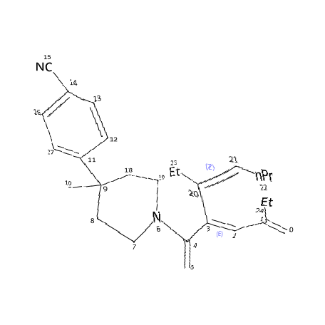 C=C(/C=C(C(=C)N1CCC(C)(c2ccc(C#N)cc2)CC1)\C(=C/CCC)CC)CC